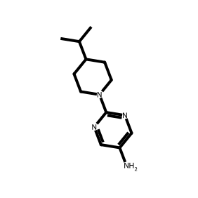 CC(C)C1CCN(c2ncc(N)cn2)CC1